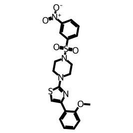 COc1ccccc1-c1csc(N2CCN(S(=O)(=O)c3cccc([N+](=O)[O-])c3)CC2)n1